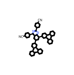 N#Cc1ccc(-c2nc(-c3ccc(C#N)cc3)c3cc(-c4ccc5c6ccccc6c6ccccc6c5c4)cc(-c4ccc5c6ccccc6c6ccccc6c5c4)c3n2)cc1